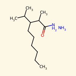 CCCCCCC(C(C)C)C(C)C(N)=O.N